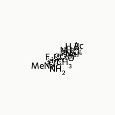 CNc1ccc(C(C)(c2ccc(NC(=O)c3cccc(C(C)=O)c3)c(N)c2)C(F)(F)F)cc1N